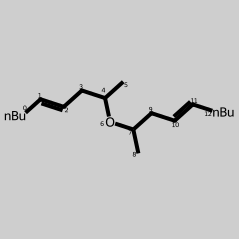 CCCCC=CCC(C)OC(C)CC=CCCCC